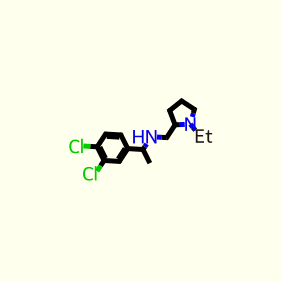 CCN1CCCC1CNC(C)c1ccc(Cl)c(Cl)c1